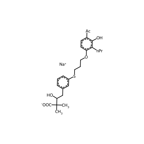 CCCc1c(OCCCSc2cccc(CC(O)C(C)(C)C(=O)[O-])c2)ccc(C(C)=O)c1O.[Na+]